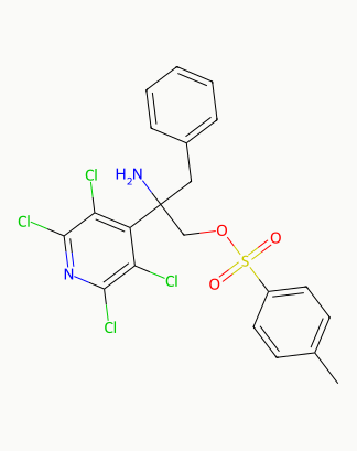 Cc1ccc(S(=O)(=O)OCC(N)(Cc2ccccc2)c2c(Cl)c(Cl)nc(Cl)c2Cl)cc1